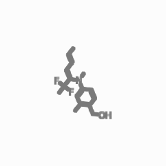 C/C=C/C=C(\N(C)c1ccc(CO)c(C)c1)C(C)(F)F